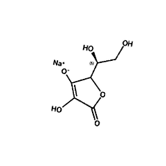 O=C1OC([C@@H](O)CO)C([O-])=C1O.[Na+]